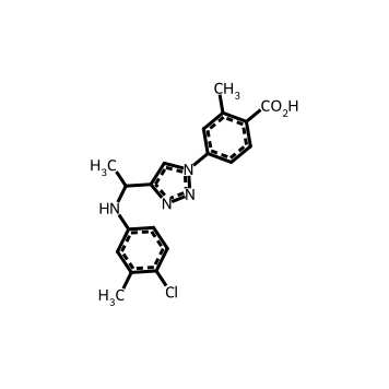 Cc1cc(NC(C)c2cn(-c3ccc(C(=O)O)c(C)c3)nn2)ccc1Cl